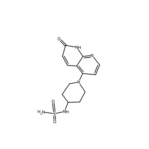 NS(=O)(=O)NC1CCN(c2ccnc3[nH]c(=O)ccc23)CC1